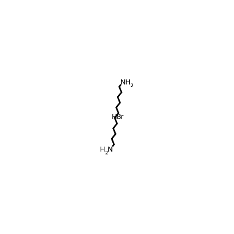 Br.NCCCCCCCCCCCCN